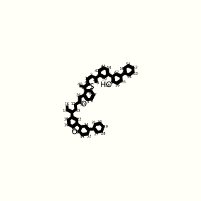 C=C(/C=C\c1sc2ccc3oc(CC/C(=C\C)c4ccc5c(c4)C4C=C(C6=CCCC=C6)C=CC4O5)cc3c2c1C)c1cccc(-c2cc(-c3ccccc3)ccc2O)c1